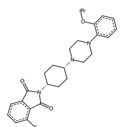 CC(C)Oc1ccccc1N1CCN([C@H]2CC[C@@H](N3C(=O)c4cccc(F)c4C3=O)CC2)CC1